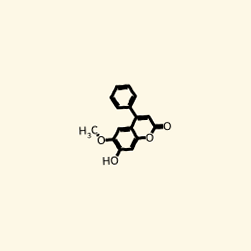 COc1cc2c(-c3ccccc3)cc(=O)oc2cc1O